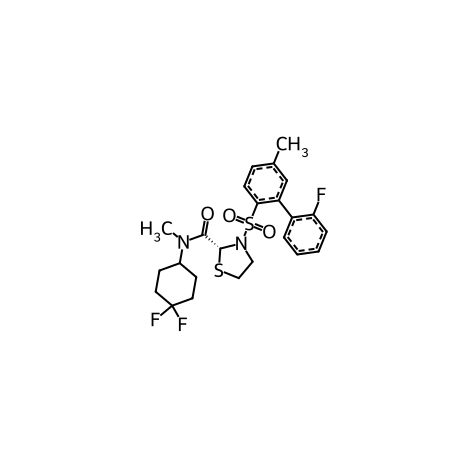 Cc1ccc(S(=O)(=O)N2CCS[C@@H]2C(=O)N(C)C2CCC(F)(F)CC2)c(-c2ccccc2F)c1